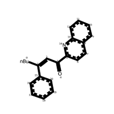 CCCCC(=CC(=O)c1ccc2ccccc2n1)c1ccccc1